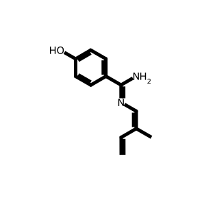 C=C/C(C)=C\N=C(/N)c1ccc(O)cc1